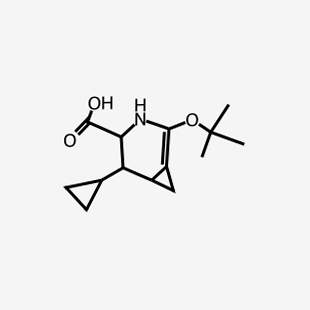 CC(C)(C)OC1=C2CC2C(C2CC2)C(C(=O)O)N1